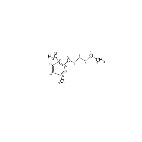 COCCCOc1cc(Cl)ccc1C